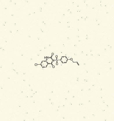 C=CCOc1ccc(S(=O)(=O)n2c(=O)[nH]c3cc(Cl)ccc3c2=O)cc1